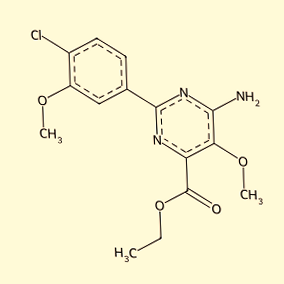 CCOC(=O)c1nc(-c2ccc(Cl)c(OC)c2)nc(N)c1OC